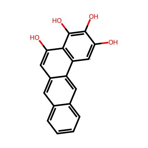 Oc1[c]c2c(c(O)cc3cc4ccccc4cc32)c(O)c1O